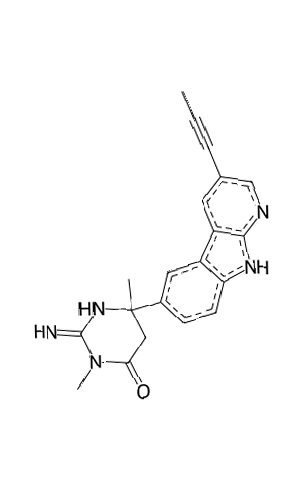 CC#Cc1cnc2[nH]c3ccc(C4(C)CC(=O)N(C)C(=N)N4)cc3c2c1